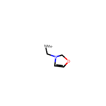 C[N]CN1C=COC1